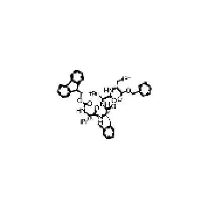 Cc1ccccc1C[C@H](NC(=O)[C@H](NC(=O)OCC1c2ccccc2-c2ccccc21)C(C)C)C(=O)N[C@H](C(=O)N[C@@H](CC(C)C)C(=O)OCc1ccccc1)C(C)(C)C